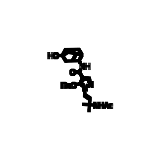 CC(=O)NC(C)(C)/C=C/n1ncc(C(=O)NC2C3CC4CC2CC(O)(C4)C3)c1OCC(C)C